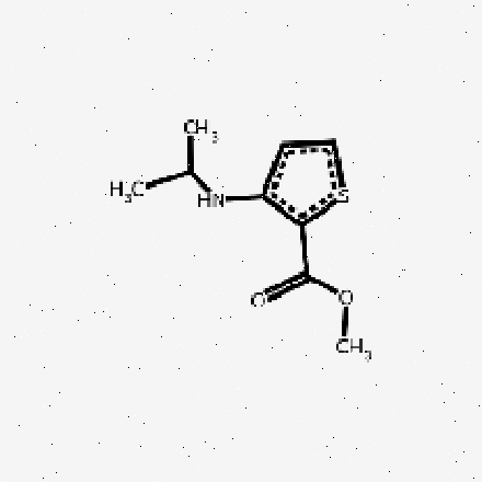 COC(=O)c1sccc1NC(C)C